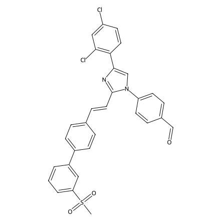 CS(=O)(=O)c1cccc(-c2ccc(C=Cc3nc(-c4ccc(Cl)cc4Cl)cn3-c3ccc(C=O)cc3)cc2)c1